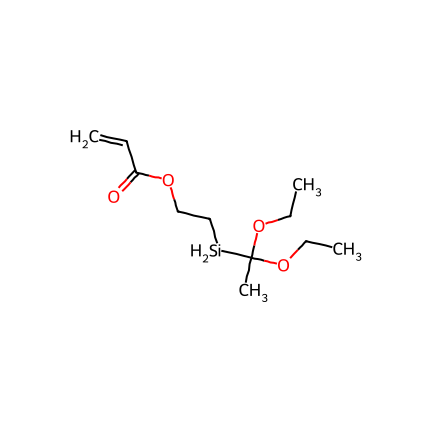 C=CC(=O)OCC[SiH2]C(C)(OCC)OCC